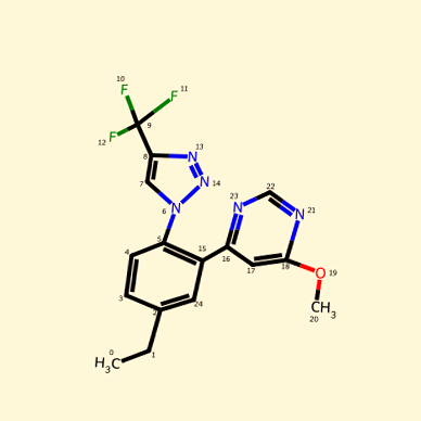 CCc1ccc(-n2cc(C(F)(F)F)nn2)c(-c2cc(OC)ncn2)c1